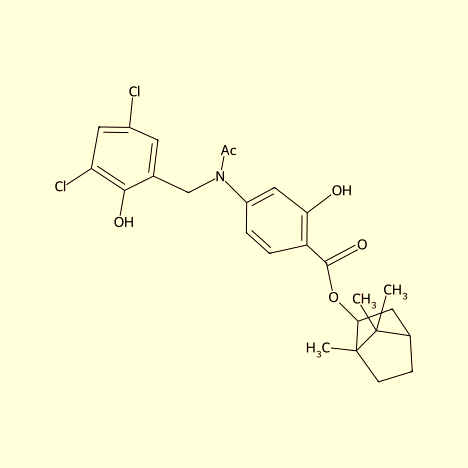 CC(=O)N(Cc1cc(Cl)cc(Cl)c1O)c1ccc(C(=O)OC2CC3CCC2(C)C3(C)C)c(O)c1